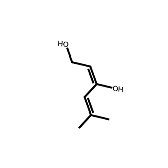 CC(C)=C/C(O)=C\CO